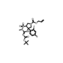 C=CCOC(=O)N1CC2C(c3ccc(F)cc3F)(C1)N/C(=N\C(=O)OC(C)(C)C)N(C)S2(=O)=O